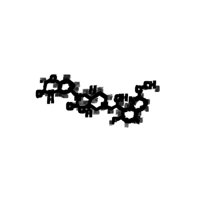 COc1ccc2ncc(F)c(C(O)CN3CC[C@@H]4CN(c5ccc6c(c5)NC(=O)CO6)C(=O)O[C@H]4C3)c2n1